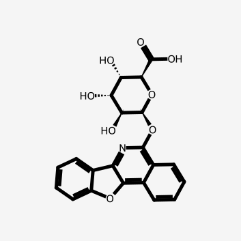 O=C(O)[C@H]1O[C@@H](Oc2nc3c4ccccc4oc3c3ccccc23)[C@@H](O)[C@H](O)[C@@H]1O